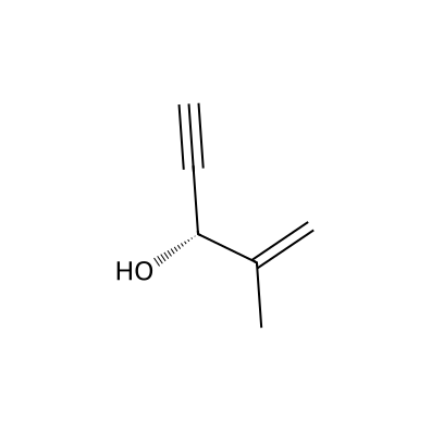 C#C[C@@H](O)C(=C)C